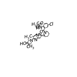 Cc1cn2nc([C@@H]3CCCCN3C(=O)c3cc(Cl)ccc3NS(C)(=O)=O)cc2nc1N1C[C@H](C)[C@@H](O)C1